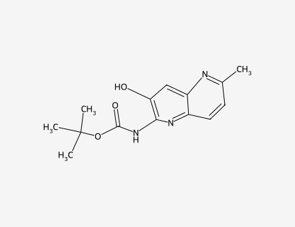 Cc1ccc2nc(NC(=O)OC(C)(C)C)c(O)cc2n1